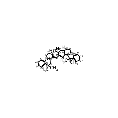 CC1(C)CC2=[N+](CC[C@H]3O[C@H]4C[C@H]5CCN6C(=C5C=C4C=C23)C(C)(C)c2ccccc26)c2ccccc21